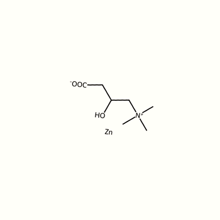 C[N+](C)(C)CC(O)CC(=O)[O-].[Zn]